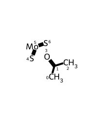 CC(C)=O.[S]=[Mo]=[S]